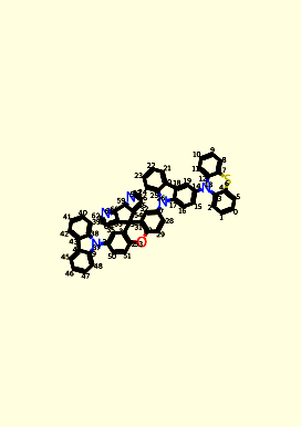 c1ccc2c(c1)Sc1ccccc1N2c1ccc2c(c1)c1ccccc1n2-c1ccc2c(c1)C1(c3cc(-n4c5ccccc5c5ccccc54)ccc3O2)c2cccnc2-c2ncccc21